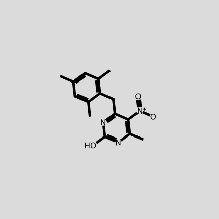 Cc1cc(C)c(Cc2nc(O)nc(C)c2[N+](=O)[O-])c(C)c1